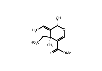 C/C=C1/[C@H](O)OC=C(C(=O)OC)[C@@]1(C)CC(=O)O